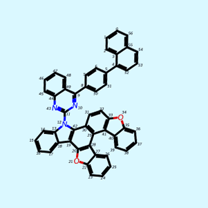 c1ccc2c(-c3ccc(-c4nc(-n5c6ccccc6c6c7oc8ccccc8c7c7c(ccc8oc9ccccc9c87)c65)nc5ccccc45)cc3)cccc2c1